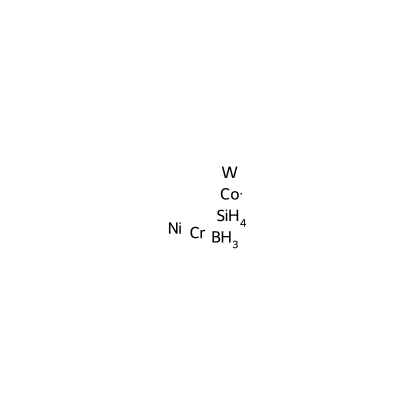 B.[Co].[Cr].[Ni].[SiH4].[W]